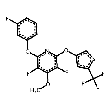 COc1c(F)c(Oc2cccc(F)c2)nc(Oc2csc(C(F)(F)F)c2)c1F